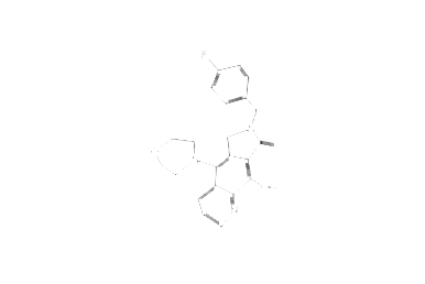 O=C1c2c(c(N3CCOCC3)c3cccnc3c2O)CN1Cc1ccc(F)cc1